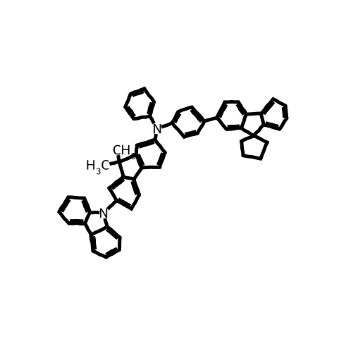 CC1(C)c2cc(N(c3ccccc3)c3ccc(-c4ccc5c(c4)C4(CCCC4)c4ccccc4-5)cc3)ccc2-c2ccc(-n3c4ccccc4c4ccccc43)cc21